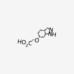 O=C(O)COc1ccc2cn[nH]c2c1